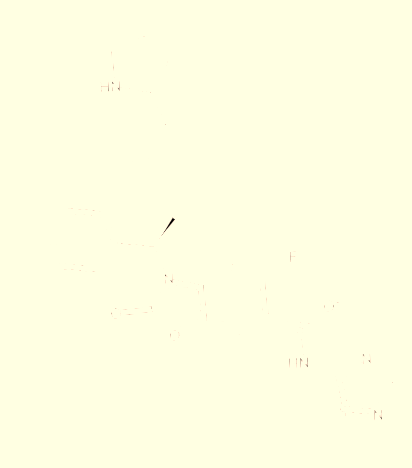 C[C@H](c1ccccc1C#CCC1CCCN1)n1c(=O)oc2cc([S+]([O-])Nc3ncns3)c(F)cc21